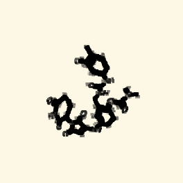 Cc1ccc(NC(=O)NCc2cc(NC3=CC(=O)N(C4CCC(=O)NC4=O)C3=O)ccc2OC(=O)N(C)C)cc1Cl